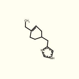 CCC1=CCC(Cc2c[nH]cn2)CC1